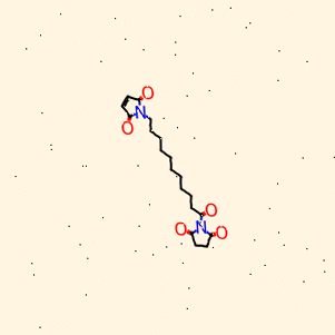 O=C1C=CC(=O)N1CCCCCCCCCCC(=O)N1C(=O)CCC1=O